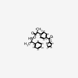 CC(NOC(=O)[C@@H](C)c1ccc(C(=O)c2cccs2)cc1)c1ccccc1